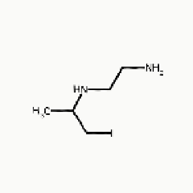 CC(CI)NCCN